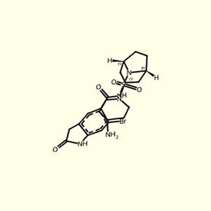 NC1CCN(S(=O)(=O)N2[C@@H]3CC[C@H]2C[C@H](NC(=O)c2cc4c(cc2Br)NC(=O)C4)C3)CC1